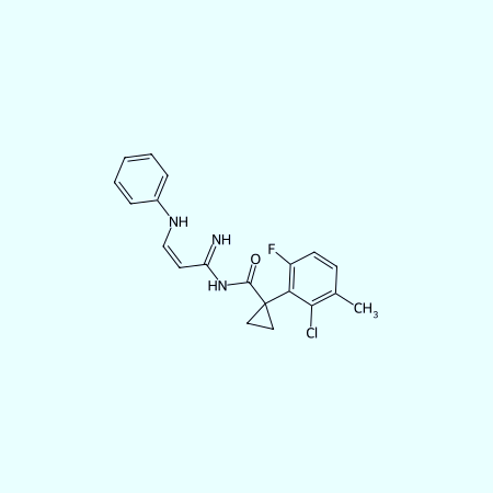 Cc1ccc(F)c(C2(C(=O)NC(=N)/C=C\Nc3ccccc3)CC2)c1Cl